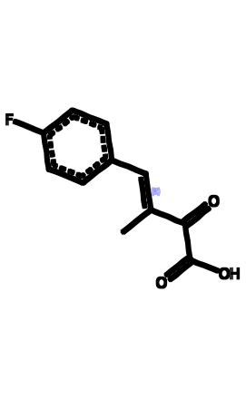 C/C(=C\c1ccc(F)cc1)C(=O)C(=O)O